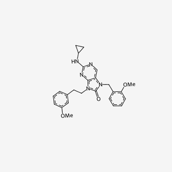 COc1cccc(CCn2c(=O)n(Cc3ccccc3OC)c3cnc(NC4CC4)nc32)c1